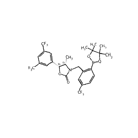 C[C@H]1[C@@H](c2cc(C(F)(F)F)cc(C(F)(F)F)c2)OC(=O)N1Cc1cc(C(F)(F)F)ccc1B1OC(C)(C)C(C)(C)O1